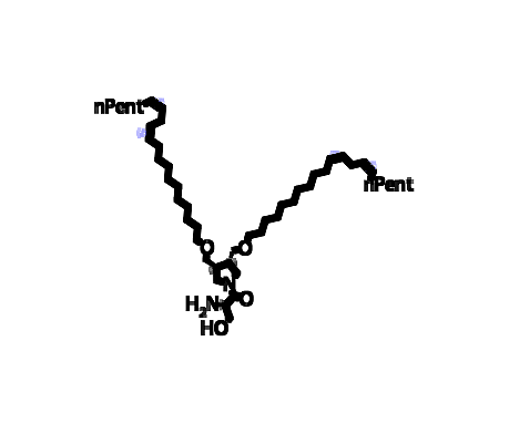 CCCCC/C=C\C/C=C\CCCCCCCCCCOC[C@@H]1CN(C(=O)[C@@H](N)CO)C[C@H]1COCCCCCCCCCC/C=C\C/C=C\CCCCC